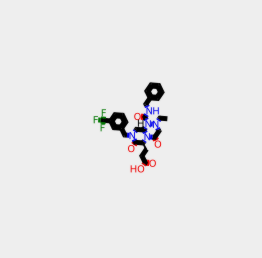 CCN1CC(=O)N2[C@@H](CCC(=O)O)C(=O)N(Cc3cccc(C(F)(F)F)c3)C[C@@H]2N1C(=O)NCc1ccccc1